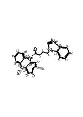 O=C(CCCn1cnc2ccccc21)N1c2ccccc2[S+]([O-])c2ccccc21